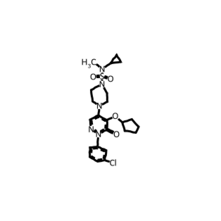 CN(C1CC1)S(=O)(=O)N1CCN(c2cnn(-c3cccc(Cl)c3)c(=O)c2OC2CCCC2)CC1